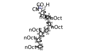 [C-]#[N+]/C(=C\c1cc(CCCCCCCC)c(-c2cc(CCCCCCCC)c(-c3cc(CCCCCCCC)c(-c4ccc(-c5sc(-c6sc(-c7sccc7CCCCCCCC)cc6CCCCCCCC)cc5CCCCCCCC)s4)s3)s2)s1)C(=O)O